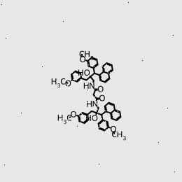 COc1cccc(CC(O)(CNC(=O)CC(=O)NCC(O)(Cc2cccc(OC)c2)C(c2cccc(OC)c2)c2cccc3ccccc23)C(c2cccc(OC)c2)c2cccc3ccccc23)c1